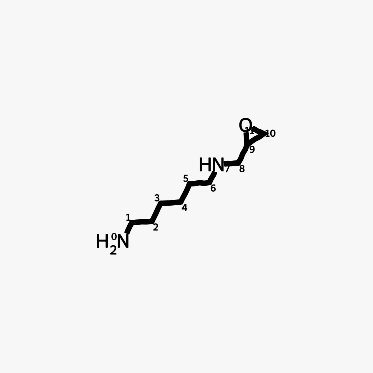 NCCCCCCNCC1CO1